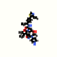 Cc1ncsc1-c1ccc([C@H](C)NC(=O)[C@@H]2C[C@@H](O)CN2C(=O)C(c2cc(N(C)C3CCNCC3)no2)C(C)C)cc1